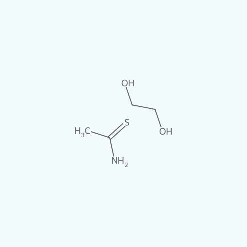 CC(N)=S.OCCO